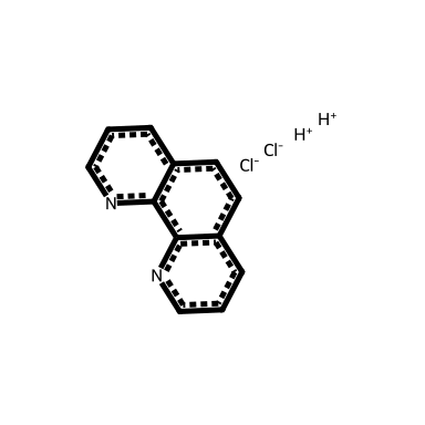 [Cl-].[Cl-].[H+].[H+].c1cnc2c(c1)ccc1cccnc12